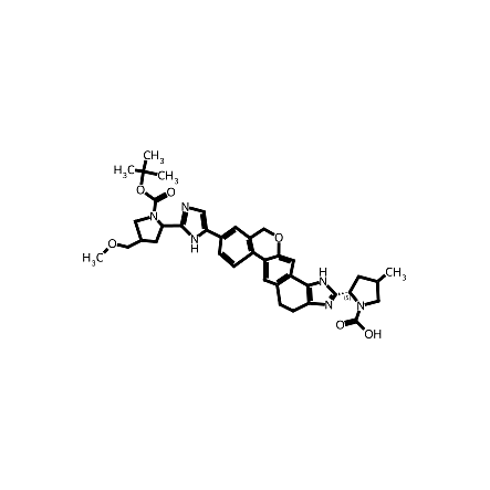 COCC1CC(c2ncc(-c3ccc4c(c3)COc3cc5c(cc3-4)CCc3nc([C@@H]4CC(C)CN4C(=O)O)[nH]c3-5)[nH]2)N(C(=O)OC(C)(C)C)C1